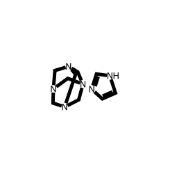 C1N2CN3CN1CN(C2)C3.c1c[nH]cn1